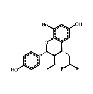 CCC1[C@@H](CC(F)F)c2cc(O)cc(Br)c2O[C@H]1c1ccc(O)cc1